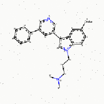 COc1ccc2c(c1)c(-c1cncc(-c3ccccc3)c1)cn2CCCN(C)C